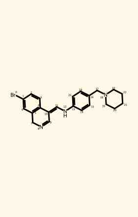 Brc1ccc2c(c1)CN=C/C2=C\Nc1ccc(CN2CCCCC2)cc1